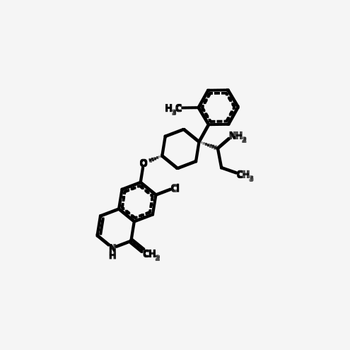 C=C1NC=Cc2cc(O[C@H]3CC[C@@](c4ccccc4C)(C(N)CC)CC3)c(Cl)cc21